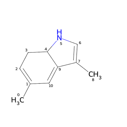 CC1=CCC2NC=C(C)C2=C1